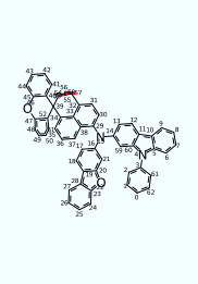 c1ccc(-n2c3ccccc3c3ccc(N(c4ccc5c(c4)oc4ccccc45)c4ccc5c6c(cccc46)C4(c6ccccc6Oc6ccccc64)c4ccccc4-5)cc32)cc1